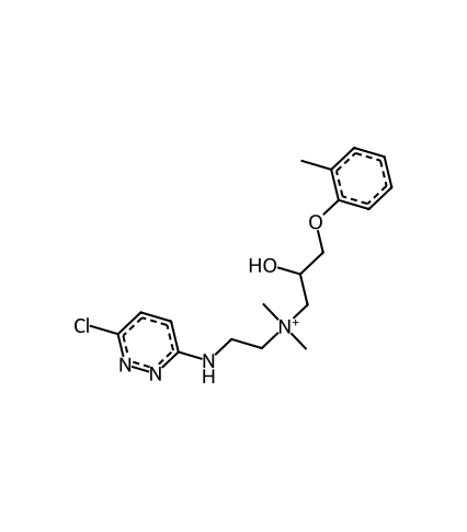 Cc1ccccc1OCC(O)C[N+](C)(C)CCNc1ccc(Cl)nn1